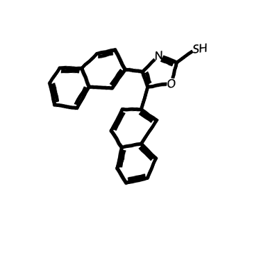 Sc1nc(-c2ccc3ccccc3c2)c(-c2ccc3ccccc3c2)o1